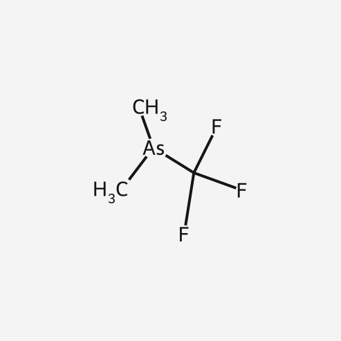 C[As](C)C(F)(F)F